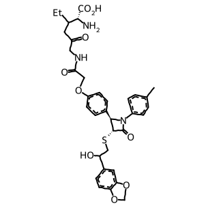 CCC(CC(=O)CNC(=O)COc1ccc([C@@H]2[C@@H](SCC(O)c3ccc4c(c3)OCO4)C(=O)N2c2ccc(C)cc2)cc1)[C@@H](N)C(=O)O